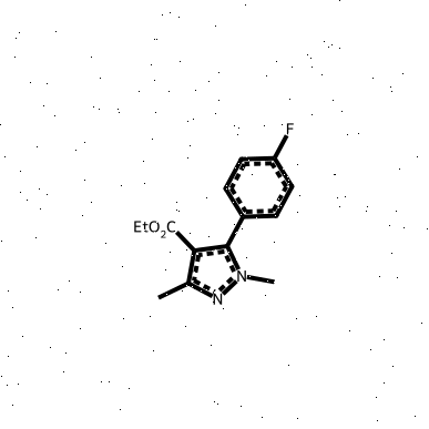 CCOC(=O)c1c(C)nn(C)c1-c1ccc(F)cc1